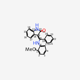 COc1ccccc1NC(=C1C(=O)Nc2ccccc21)c1ccccc1